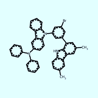 Cc1ccc2[nH]c3c(-c4cc(Br)cc(-n5c6ccccc6c6cc(N(c7ccccc7)c7ccccc7)ccc65)c4)cc(C)cc3c2c1